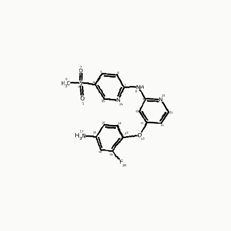 CS(=O)(=O)c1ccc(Nc2cc(Oc3ccc(N)cc3F)ccn2)nc1